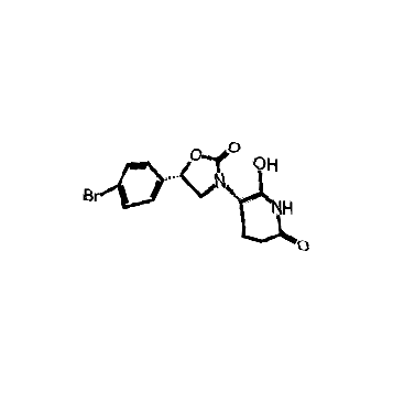 O=C1CC[C@@H](N2C[C@H](c3ccc(Br)cc3)OC2=O)C(O)N1